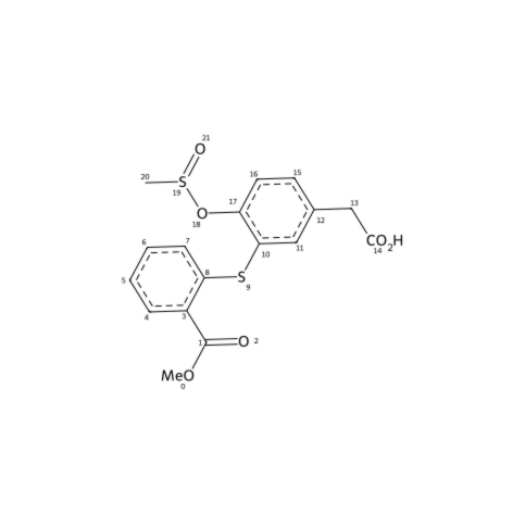 COC(=O)c1ccccc1Sc1cc(CC(=O)O)ccc1OS(C)=O